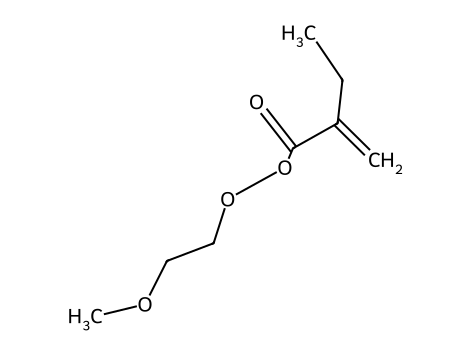 C=C(CC)C(=O)OOCCOC